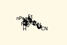 CCCN(CO[C@@H](CC)CC(=O)N1CCN(c2ccc(C#N)cn2)CC1)c1cn[nH]c(=O)c1C(F)(F)F